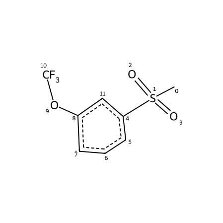 CS(=O)(=O)c1cc[c]c(OC(F)(F)F)c1